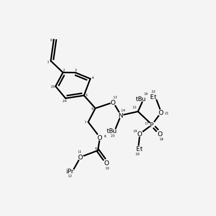 C=Cc1ccc(C(COC(=O)OC(C)C)ON(C(C(C)(C)C)P(=O)(OCC)OCC)C(C)(C)C)cc1